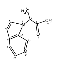 CC(C(=O)O)n1ccc2ccncc21